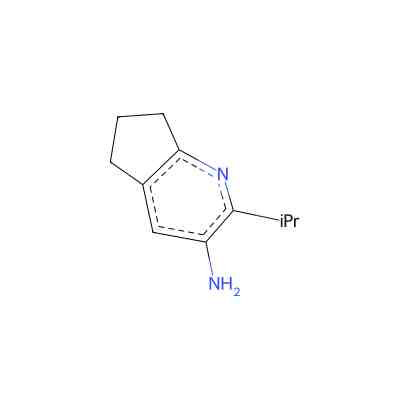 CC(C)c1nc2c(cc1N)CCC2